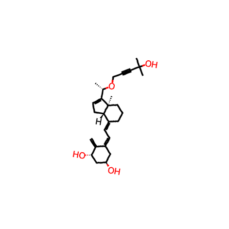 C=C1C(=CC=C2CCC[C@]3(C)C([C@H](C)OCC#CC(C)(C)O)=CC[C@@H]23)C[C@@H](O)C[C@@H]1O